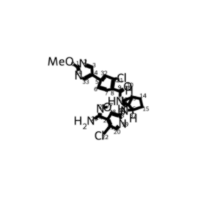 COc1ncc(-c2ccc(C(=O)N[C@@H]3[C@H]4CC[C@@H]3N(c3ncc(Cl)c5c(N)noc35)C4)c(Cl)c2)cn1